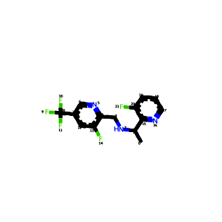 CC(NCc1ncc(C(F)(F)F)cc1F)c1ncccc1F